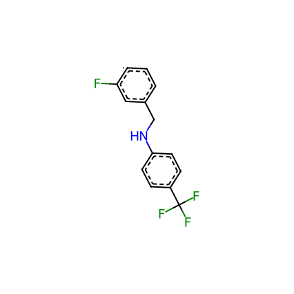 Fc1[c]ccc(CNc2ccc(C(F)(F)F)cc2)c1